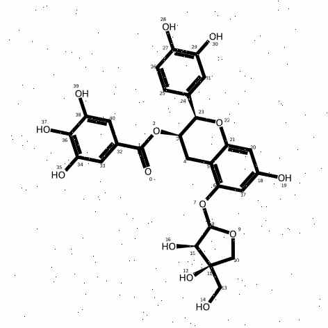 O=C(O[C@@H]1Cc2c(OC3OC[C@](O)(CO)[C@H]3O)cc(O)cc2O[C@@H]1c1ccc(O)c(O)c1)c1cc(O)c(O)c(O)c1